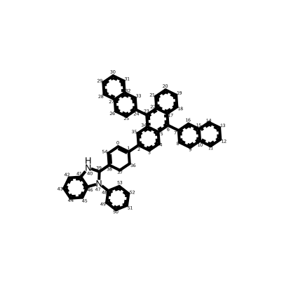 C1=C(c2ccc3c(-c4ccc5ccccc5c4)c4ccccc4c(-c4ccc5ccccc5c4)c3c2)CCC(C2Nc3ccccc3N2c2ccccc2)=C1